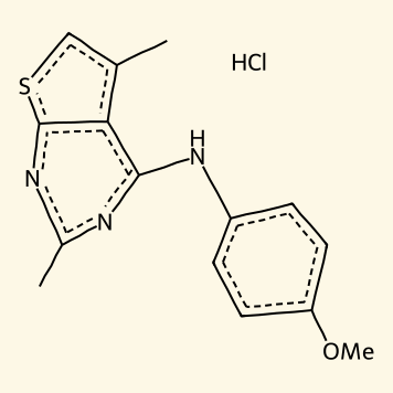 COc1ccc(Nc2nc(C)nc3scc(C)c23)cc1.Cl